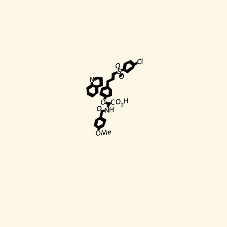 COc1ccc(C(=O)NC(Oc2ccc(CCCS(=O)(=O)c3ccc(Cl)cc3)cc2)C(=O)O)cc1.c1ccc2ncccc2c1